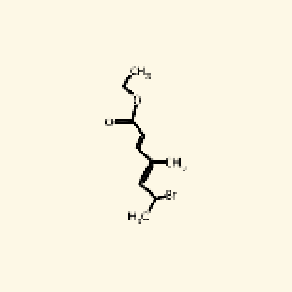 CCOC(=O)/C=C/C(C)=C/C(C)Br